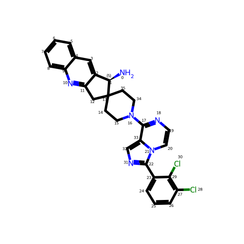 N[C@@H]1c2cc3ccccc3nc2CC12CCN(c1nccn3c(-c4cccc(Cl)c4Cl)ncc13)CC2